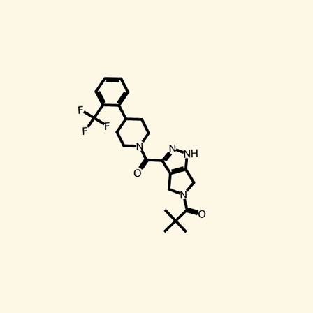 CC(C)(C)C(=O)N1Cc2[nH]nc(C(=O)N3CCC(c4ccccc4C(F)(F)F)CC3)c2C1